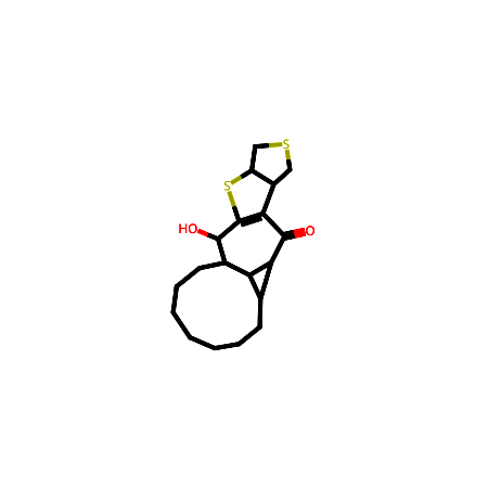 O=C1C2=C(SC3CSCC23)C(O)C2CCCCCCCC3C1C23